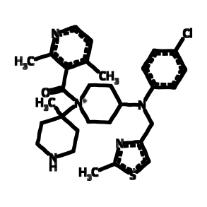 Cc1nc(CN(c2ccc(Cl)cc2)C2CC[N+](C(=O)c3c(C)ccnc3C)(C3(C)CCNCC3)CC2)cs1